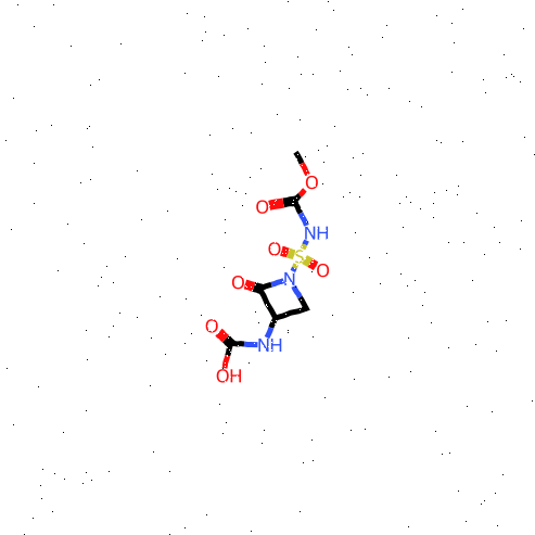 COC(=O)NS(=O)(=O)N1CC(NC(=O)O)C1=O